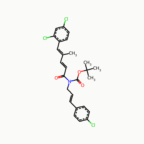 CC(/C=C/C(=O)N(C/C=C/c1ccc(Cl)cc1)C(=O)OC(C)(C)C)=C\c1ccc(Cl)cc1Cl